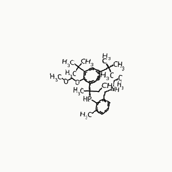 CCNCc1cccc(C)c1PC(C)(CC)c1cc(C(C)(C)C)cc(C(C)(C)C)c1OCOC